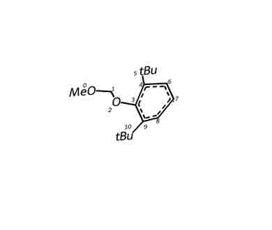 COCOc1c(C(C)(C)C)c[c]cc1C(C)(C)C